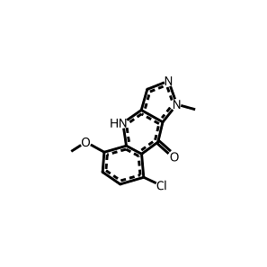 COc1ccc(Cl)c2c(=O)c3c(cnn3C)[nH]c12